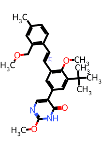 COCc1cc(C)ccc1/C=C/c1cc(-c2cnc(OC)[nH]c2=O)cc(C(C)(C)C)c1OC